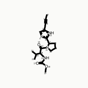 CC#Cc1cnc(C2CCCN2C(=O)C(NC(=O)OC)C(C)C)[nH]1